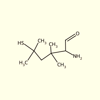 CC(C)(S)CC(C)(C)C(N)C=O